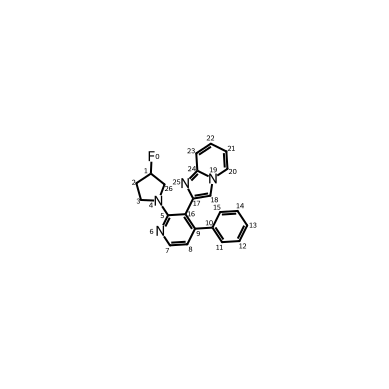 FC1CCN(c2nccc(-c3ccccc3)c2-c2cn3ccccc3n2)C1